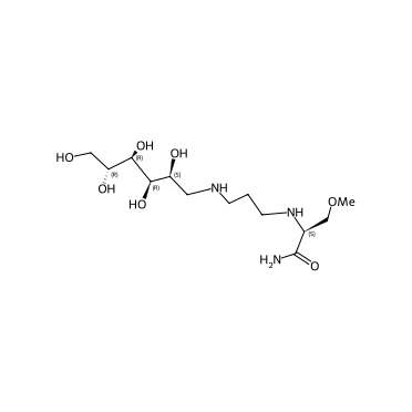 COC[C@H](NCCCNC[C@H](O)[C@@H](O)[C@H](O)[C@H](O)CO)C(N)=O